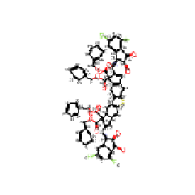 O=C1C(=O)c2c(F)cc(F)cc2/C1=C/C1=Cc2cc3sc4cc5c(cc4c3cc2C1(C(=O)OCc1ccccc1)C(=O)OCc1ccccc1)C(C(=O)OCc1ccccc1)(C(=O)OCc1ccccc1)C(/C=C1\C(=O)C(=O)c2c(F)cc(F)cc21)=C5